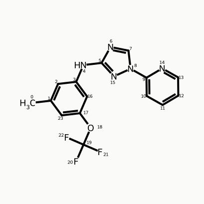 Cc1cc(Nc2ncn(-c3ccccn3)n2)cc(OC(F)(F)F)c1